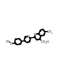 CCOc1ccc(-c2ccc(-c3cc(C(=O)O)c4cc(C(F)(F)F)ccc4n3)nc2)cc1